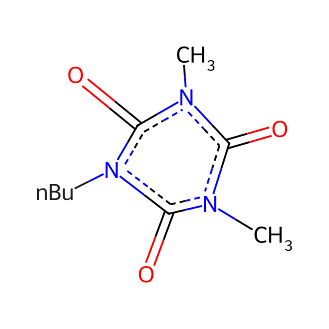 CCCCn1c(=O)n(C)c(=O)n(C)c1=O